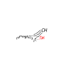 C#CCCCCC.CCOC(=O)O